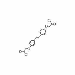 O=C(Cl)COc1ccc(/C=C/c2ccc(OCC(=O)Cl)cc2)cc1